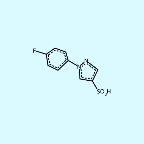 O=S(=O)(O)c1cnn(-c2ccc(F)cc2)c1